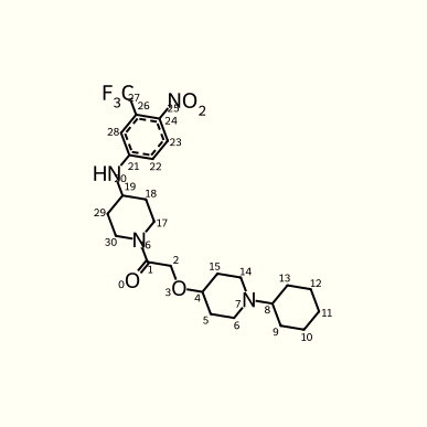 O=C(COC1CCN(C2CCCCC2)CC1)N1CCC(Nc2ccc([N+](=O)[O-])c(C(F)(F)F)c2)CC1